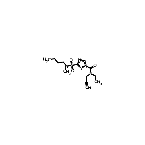 C#CCN(CC)C(=O)n1cnc(S(=O)(=O)N(C)CCCC)n1